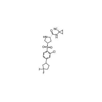 N#CC1(NC(=O)[C@@H]2C[C@@H](S(=O)(=O)c3ccc(C4CCC(F)(F)C4)cc3Cl)CN2)CC1